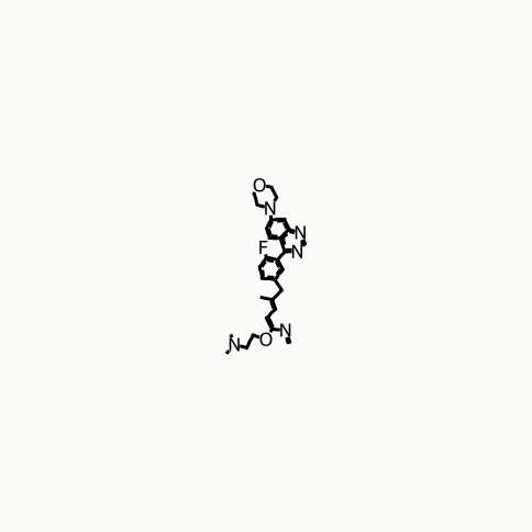 C=N/C(=C\C=C(/C)Cc1ccc(F)c(-c2ncnc3cc(N4CCOCC4)ccc23)c1)OCCN(C)C